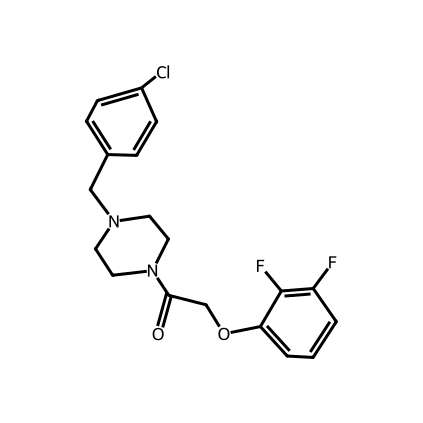 O=C(COc1cccc(F)c1F)N1CCN(Cc2ccc(Cl)cc2)CC1